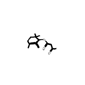 CC(=O)CC(=O)OC1C(C)=C(C)CCC1(C)C